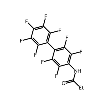 CCC(=O)Nc1c(F)c(F)c(-c2c(F)c(F)c(F)c(F)c2F)c(F)c1F